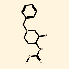 CC(C)(C)OC(=O)NC1CCN(Cc2ccccc2)CC1F